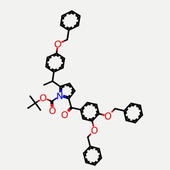 CC(c1ccc(OCc2ccccc2)cc1)c1ccc(C(=O)c2ccc(OCc3ccccc3)c(OCc3ccccc3)c2)n1C(=O)OC(C)(C)C